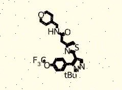 CC(C)(C)n1ncc(-c2nc(CC(=O)NCC3CCOCC3)cs2)c1-c1ccc(OC(F)(F)F)cc1